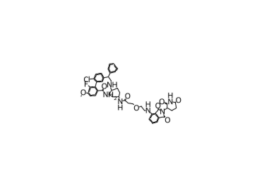 COc1ccc(C(N)=O)c(-c2cc(C(CNC3CCC(NC(=O)CCOCCNc4cccc5c4C(=O)N(C4CCC(=O)NC4=O)C5=O)CC3)c3ccccc3)ccc2Cl)c1F